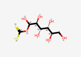 OC[C@@H](O)[C@@H](O)[C@H](O)[C@H](O)C(O)OC(=S)S